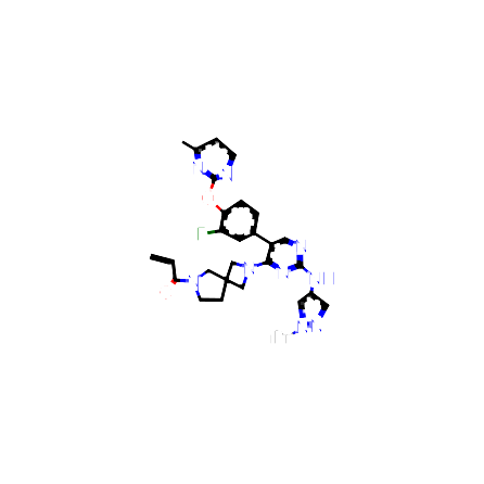 C=CC(=O)N1CCC2(C1)CN(c1nc(Nc3cnn(C(C)C)c3)ncc1-c1ccc(Oc3nccc(C)n3)c(F)c1)C2